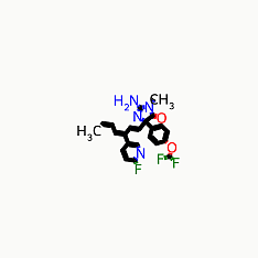 C\C=C/C=C(\C=C\C1(c2ccc(OC(F)F)cc2)N=C(N)N(C)C1=O)c1ccc(F)nc1